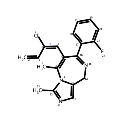 C=C/C(Cl)=C\C1=C(C)n2c(cnc2C)CN=C1c1ccccc1F